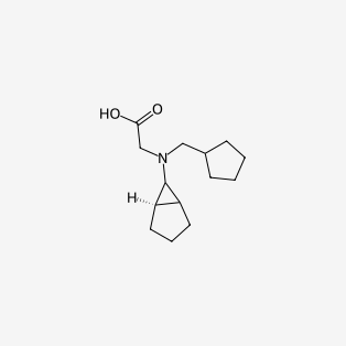 O=C(O)CN(CC1CCCC1)C1C2CCC[C@H]21